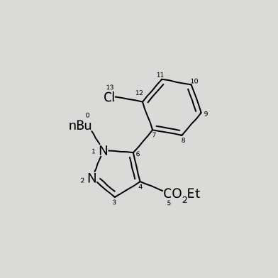 CCCCn1ncc(C(=O)OCC)c1-c1ccccc1Cl